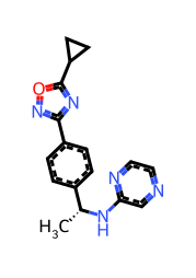 C[C@@H](Nc1cnccn1)c1ccc(-c2noc(C3CC3)n2)cc1